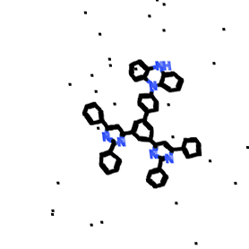 c1ccc(-c2cc(-c3cc(-c4ccc(N5c6ccccc6Nc6ccccc65)cc4)cc(-c4cc(-c5ccccc5)nc(-c5ccccc5)n4)c3)nc(-c3ccccc3)n2)cc1